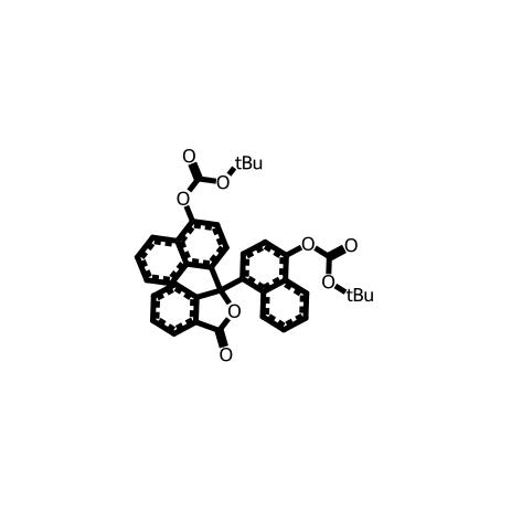 CC(C)(C)OC(=O)Oc1ccc(C2(c3ccc(OC(=O)OC(C)(C)C)c4ccccc34)OC(=O)c3ccccc32)c2ccccc12